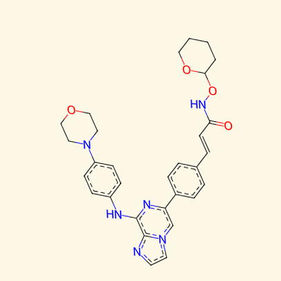 O=C(/C=C/c1ccc(-c2cn3ccnc3c(Nc3ccc(N4CCOCC4)cc3)n2)cc1)NOC1CCCCO1